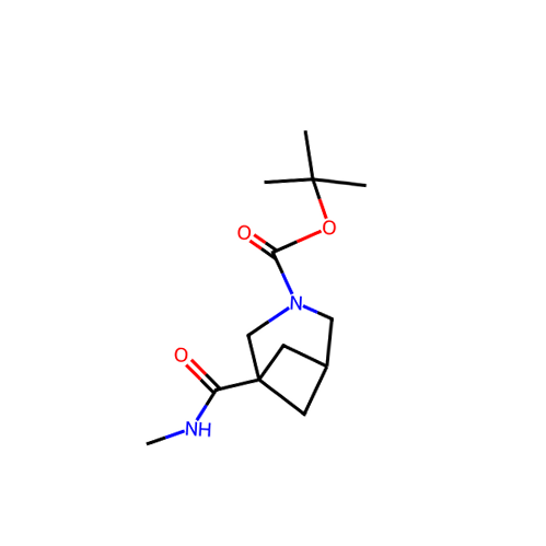 CNC(=O)C12CC(CN(C(=O)OC(C)(C)C)C1)C2